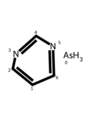 [AsH3].c1cncnc1